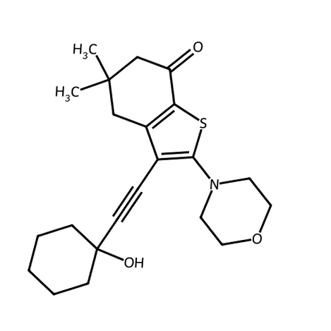 CC1(C)CC(=O)c2sc(N3CCOCC3)c(C#CC3(O)CCCCC3)c2C1